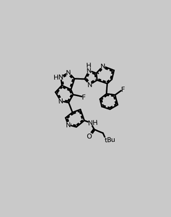 CC(C)(C)CC(=O)Nc1cncc(-c2ncc3[nH]nc(-c4nc5c(-c6ccccc6F)ccnc5[nH]4)c3c2F)c1